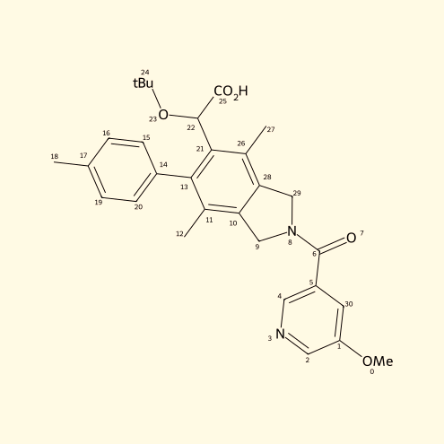 COc1cncc(C(=O)N2Cc3c(C)c(-c4ccc(C)cc4)c(C(OC(C)(C)C)C(=O)O)c(C)c3C2)c1